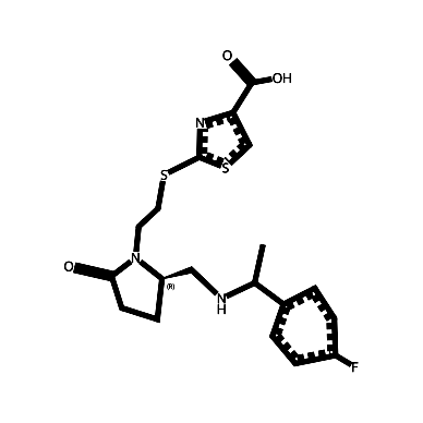 CC(NC[C@H]1CCC(=O)N1CCSc1nc(C(=O)O)cs1)c1ccc(F)cc1